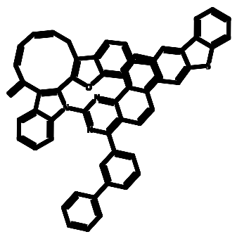 C=C1/C=C\C=C/Cc2c(oc3cc(-c4ccc5sc6ccccc6c5c4)ccc23)-c2c1c1ccccc1n2-c1nc(-c2cccc(-c3ccccc3)c2)c2ccc3ccccc3c2n1